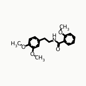 COc1ccc(CCNC(=O)c2ccccc2OC)cc1OC